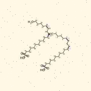 CCCCC/C=C\C/C=C\CCCCCCCCCS(=O)(=O)O.CCCCC/C=C\C/C=C\CCCCCCCCCS(=O)(=O)O